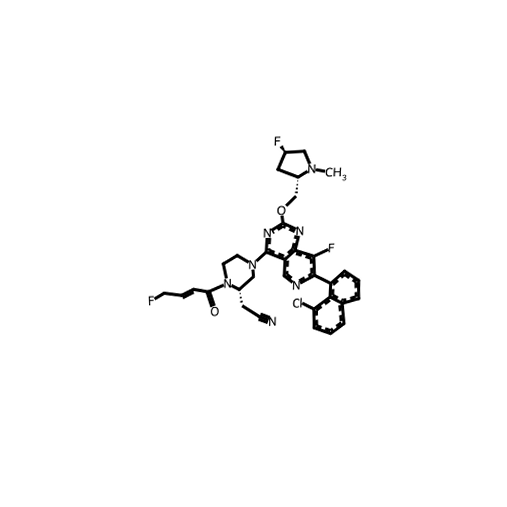 CN1C[C@H](F)C[C@H]1COc1nc(N2CCN(C(=O)/C=C/CF)[C@@H](CC#N)C2)c2cnc(-c3cccc4cccc(Cl)c34)c(F)c2n1